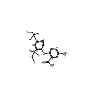 CCC(C)(C)c1ccc(Oc2ccc(N)cc2C([NH])=O)c(C(C)(C)CC)c1